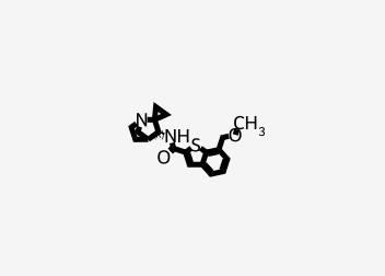 COCc1cccc2cc(C(=O)N[C@@H]3C4CCN(C4)C34CC4)sc12